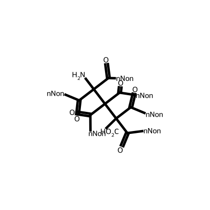 CCCCCCCCCC(=O)C(N)(C(=O)CCCCCCCCC)C(C(=O)CCCCCCCCC)(C(=O)CCCCCCCCC)C(C(=O)O)(C(=O)CCCCCCCCC)C(=O)CCCCCCCCC